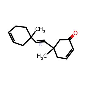 CC1(/C=C/C2(C)CC=CC(=O)C2)CC=CCC1